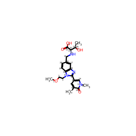 COCCn1c(-c2cc(C)c(=O)n(C)c2)nc2cc(CN[C@H](C(=O)O)[C@@H](C)O)ccc21